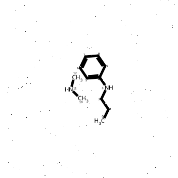 CCCNc1ccccc1.CNC